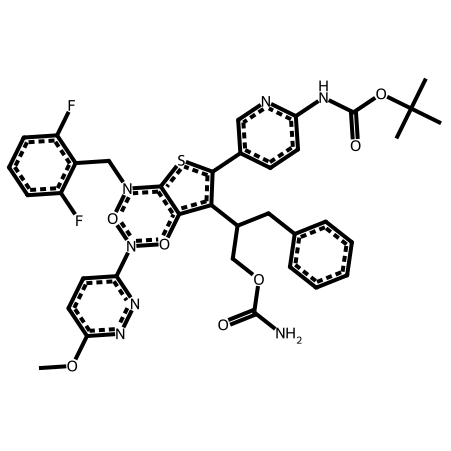 COc1ccc(-n2oc3c(C(COC(N)=O)Cc4ccccc4)c(-c4ccc(NC(=O)OC(C)(C)C)nc4)sc3n(Cc3c(F)cccc3F)o2)nn1